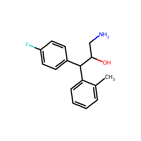 Cc1ccccc1C(c1ccc(F)cc1)C(O)CN